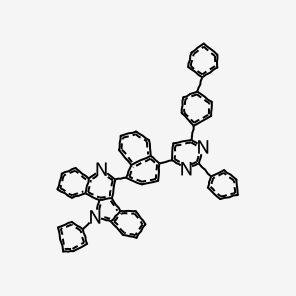 c1ccc(-c2ccc(-c3cc(-c4ccc(-c5nc6ccccc6c6c5c5ccccc5n6-c5ccccc5)c5ccccc45)nc(-c4ccccc4)n3)cc2)cc1